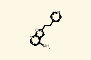 Nc1ccnc2oc(CCc3ccncc3)cc12